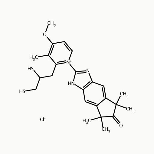 COc1cc[n+](-c2nc3cc4c(cc3[nH]2)C(C)(C)C(=O)C4(C)C)c(CC(S)CS)c1C.[Cl-]